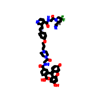 N#C[C@@H]1CC(F)(F)CN1C(=O)CNC(=O)c1ccncc1/C=C/c1ccc(OCCCN2CCN(C(=O)CNC(=O)c3ccc(C(=O)O)c(-c4c5ccc(=O)cc-5oc5cc(O)ccc45)c3)CC2)cc1